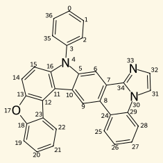 c1ccc(-n2c3cc4c(cc3c3c5c(ccc32)oc2ccccc25)c2ccccc2n2ccnc42)cc1